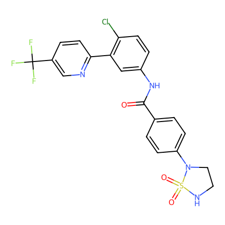 O=C(Nc1ccc(Cl)c(-c2ccc(C(F)(F)F)cn2)c1)c1ccc(N2CCNS2(=O)=O)cc1